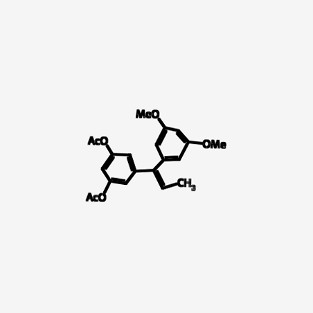 C/C=C(\c1cc(OC)cc(OC)c1)c1cc(OC(C)=O)cc(OC(C)=O)c1